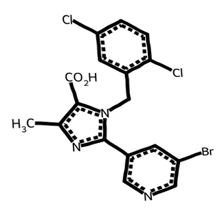 Cc1nc(-c2cncc(Br)c2)n(Cc2cc(Cl)ccc2Cl)c1C(=O)O